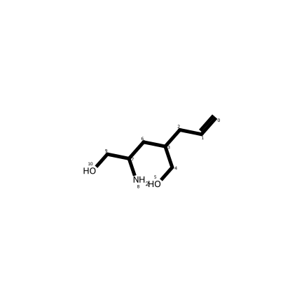 C=CCC(CO)CC(N)CO